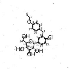 CCOc1ccc(Cc2cc([C@@H]3OC(CO)[C@@H](O)[C@H](O)[C@H]3O)ccc2Cl)cc1